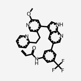 C=CC(=O)Nc1cc(-c2cnc3[nH]cc(-c4cc(OC)ncc4CCc4ccccn4)c3c2)cc(C(F)(F)F)c1